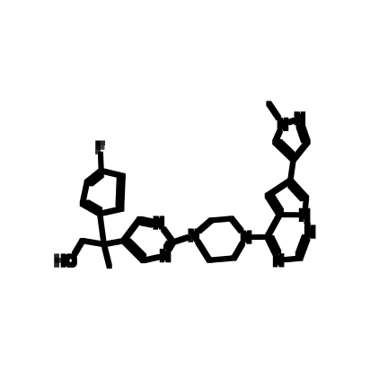 Cn1cc(-c2cc3c(N4CCN(c5ncc(C(C)(CO)c6ccc(F)cc6)cn5)CC4)ncnn3c2)cn1